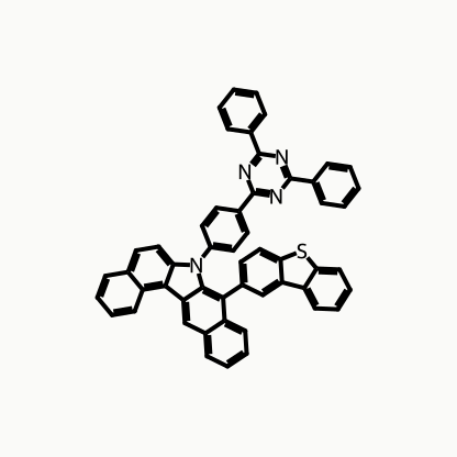 c1ccc(-c2nc(-c3ccccc3)nc(-c3ccc(-n4c5ccc6ccccc6c5c5cc6ccccc6c(-c6ccc7sc8ccccc8c7c6)c54)cc3)n2)cc1